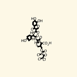 O=C(O)C1=C(COC(=O)N(Cl)C(=O)C(Cl)Cl)CS[C@H]2[C@H](NC(=O)C(NC(=O)c3coc4c(O)c(O)ccc4c3=O)c3ccc(O)cc3)C(=O)N12